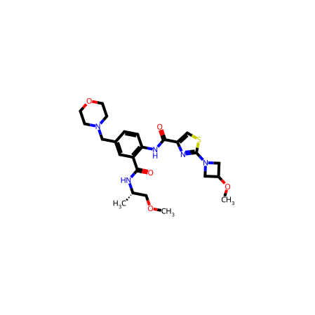 COC[C@H](C)NC(=O)c1cc(CN2CCOCC2)ccc1NC(=O)c1csc(N2CC(OC)C2)n1